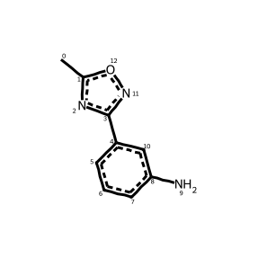 Cc1nc(-c2cccc(N)c2)no1